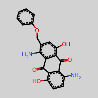 Nc1ccc(O)c2c1C(=O)c1c(O)cc(COc3ccccc3)c(N)c1C2=O